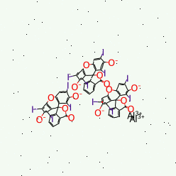 O=C1OC2(c3ccccc31)c1c(cc(I)c([O-])c1I)Oc1cc(I)c([O-])c(I)c12.O=C1OC2(c3ccccc31)c1c(cc(I)c([O-])c1I)Oc1cc(I)c([O-])c(I)c12.O=C1OC2(c3ccccc31)c1c(cc(I)c([O-])c1I)Oc1cc(I)c([O-])c(I)c12.[Al+3].[Al+3]